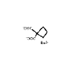 O=C([O-])C1(C(=O)[O-])CCC1.[Ba+2]